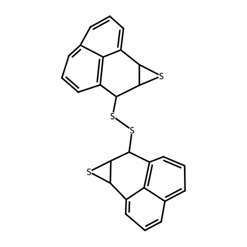 c1cc2c3c(cccc3c1)C1SC1C2SSC1c2cccc3cccc(c23)C2SC12